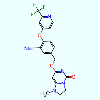 CN1CCn2c1cc(OCc1ccc(Oc3ccnc(C(F)(F)F)c3)c(C#N)c1)nc2=O